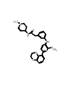 COc1nc(-c2cccc3c2OCCO3)ccc1Nc1cccc(CC(=O)NC2CCN(C)CC2)c1